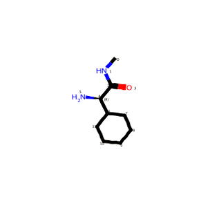 CNC(=O)[C@H](N)C1CCCCC1